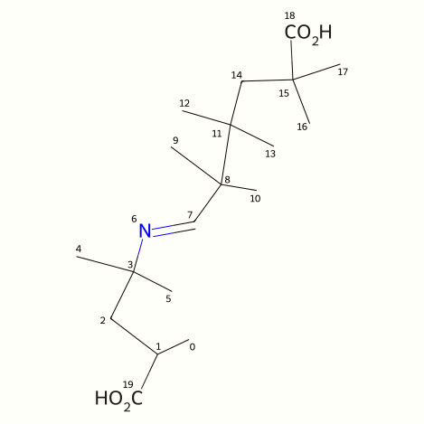 CC(CC(C)(C)/N=C/C(C)(C)C(C)(C)CC(C)(C)C(=O)O)C(=O)O